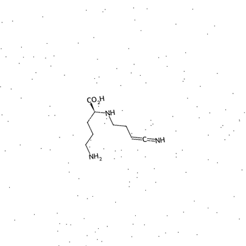 N=C=CCCN[C@@H](CCCN)C(=O)O